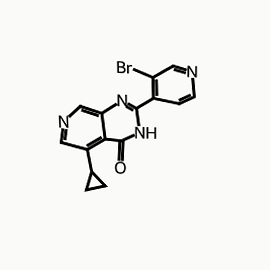 O=c1[nH]c(-c2ccncc2Br)nc2cncc(C3CC3)c12